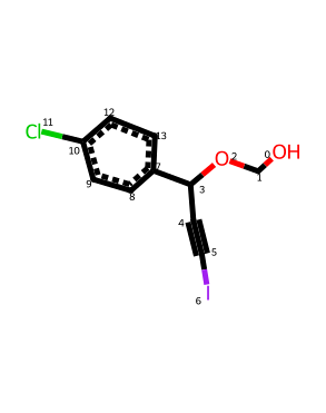 OCOC(C#CI)c1ccc(Cl)cc1